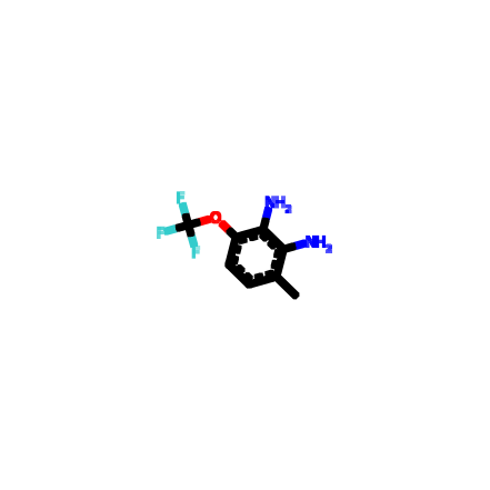 Cc1ccc(OC(F)(F)F)c(N)c1N